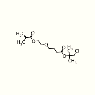 C=C(C)C(=O)OCCOCCCC(=O)OC(C)(C)CCl